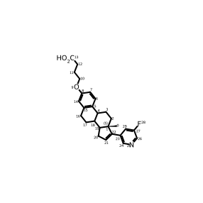 C[C@]12CCC3c4ccc(OCCCC(=O)O)cc4CCC3C1CC=C2c1cncc(F)c1